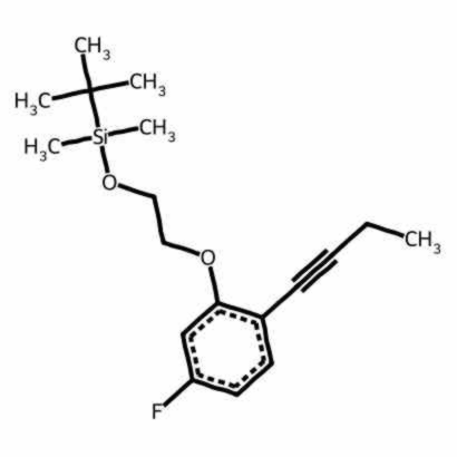 CCC#Cc1ccc(F)cc1OCCO[Si](C)(C)C(C)(C)C